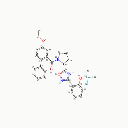 CCOc1ccc(-c2ccccc2)c(C(=O)N2CCCC2c2nc(-c3ccccc3OC(F)(F)F)no2)c1